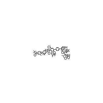 COC(=O)N[C@H](C(=O)N1C[Si](C)(C)CC1c1nc(-c2ccc(-c3cc(Cl)c(NC(=O)c4ccc(N5CCN(C(=O)C(C)(C)C)CC5C)nc4)cc3OC(F)(F)F)cc2)c[nH]1)C(C)C